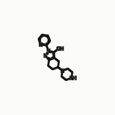 Oc1c2c(nn1-c1ccccn1)CCC(N1CCNCC1)C2